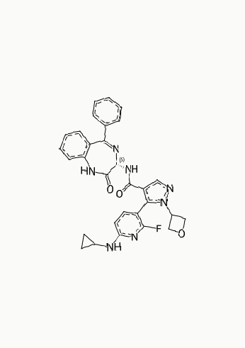 O=C(N[C@H]1N=C(c2ccccc2)c2ccccc2NC1=O)c1cnn(C2COC2)c1-c1ccc(NC2CC2)nc1F